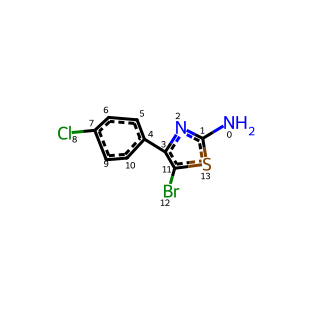 Nc1nc(-c2ccc(Cl)cc2)c(Br)s1